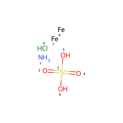 Cl.N.O=S(=O)(O)O.[Fe].[Fe]